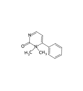 C[N+]1(C)C(=O)N=CC=C1c1ccccc1